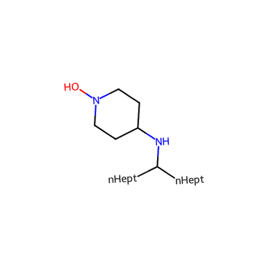 CCCCCCCC(CCCCCCC)NC1CCN(O)CC1